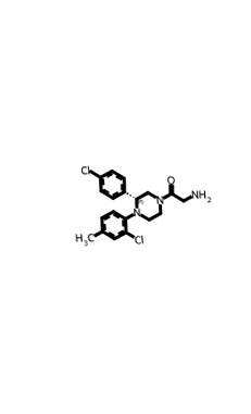 Cc1ccc(N2CCN(C(=O)CN)C[C@H]2c2ccc(Cl)cc2)c(Cl)c1